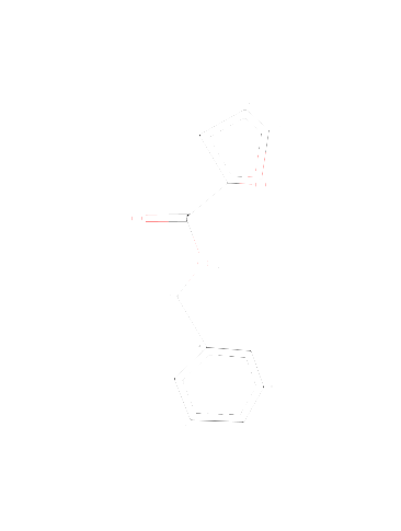 O=C(OCc1ccccc1)c1ccco1